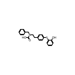 O=C(O)N(CCc1ccc(Sc2ccccc2O)cc1)Cc1ccccc1